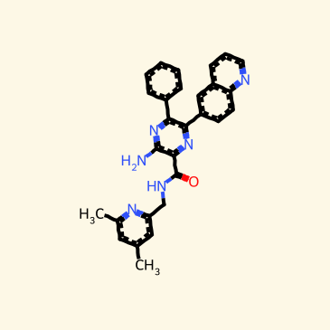 Cc1cc(C)nc(CNC(=O)c2nc(-c3ccc4ncccc4c3)c(-c3ccccc3)nc2N)c1